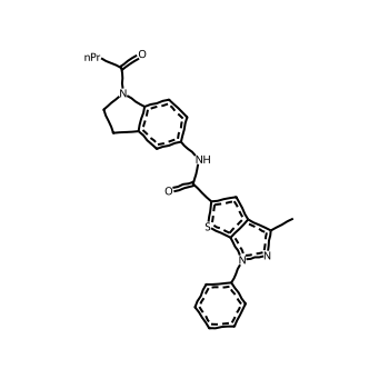 CCCC(=O)N1CCc2cc(NC(=O)c3cc4c(C)nn(-c5ccccc5)c4s3)ccc21